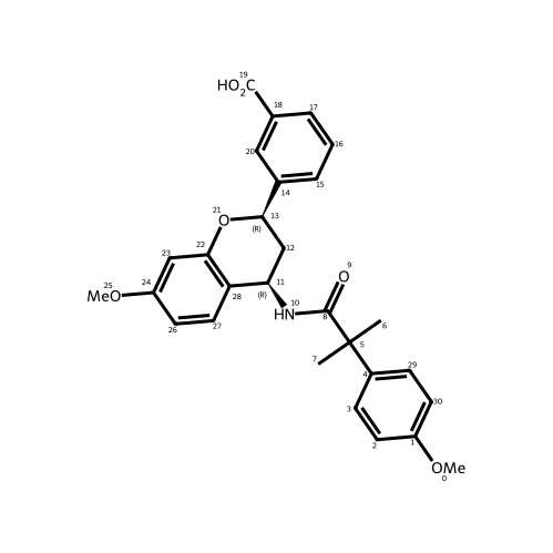 COc1ccc(C(C)(C)C(=O)N[C@@H]2C[C@H](c3cccc(C(=O)O)c3)Oc3cc(OC)ccc32)cc1